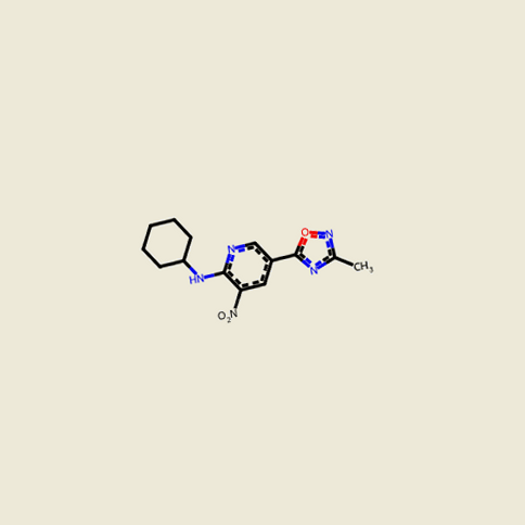 Cc1noc(-c2cnc(NC3CCCCC3)c([N+](=O)[O-])c2)n1